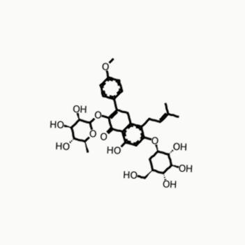 COc1ccc(C2=C(OC3O[C@@H](C)[C@H](O)[C@@H](O)[C@H]3O)C(=O)c3c(O)cc(O[C@@H]4C[C@H](CO)[C@@H](O)[C@H](O)[C@H]4O)c(CC=C(C)C)c3C2)cc1